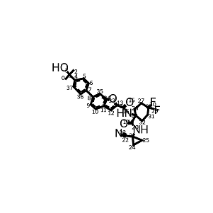 CC(C)(O)c1ccc(-c2ccc3cc(C(=O)NC4(C(=O)NC5(C#N)CC5)CCC(F)(F)CC4)oc3c2)cc1